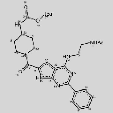 CC(=O)NCCNc1nc(-c2ccccc2)nc2[nH]c(C(=O)N3CCC(NC(=O)OC(C)(C)C)CC3)cc12